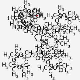 C[Si](CC[Si]([O])(CC[Si](C)(CC[Si]1(C)O[Si](C)(C)O[Si](C)(C)O[Si](C)(C)O1)CC[Si]1(C)O[Si](C)(C)O[Si](C)(C)O[Si](C)(C)O1)CC[Si](C)(CC[Si]1(C)O[Si](C)(C)O[Si](C)(C)O[Si](C)(C)O1)CC[Si]1(C)O[Si](C)(C)O[Si](C)(C)O[Si](C)(C)O1)(CC[Si]1(C)O[Si](C)(C)O[Si](C)(C)O[Si](C)(C)O1)CC[Si]1(C)O[Si](C)(C)O[Si](C)(C)O[Si](C)(C)O1